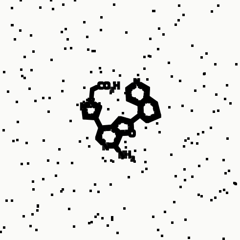 Nc1ncc(-c2cnn(CC(=O)O)c2)c2cc(-c3cccc4cnccc34)oc12